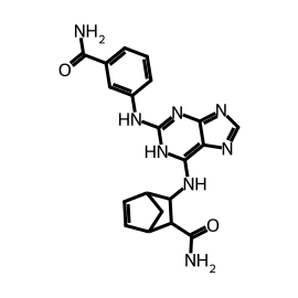 NC(=O)c1cccc(Nc2nc3ncnc-3c(NC3C4C=CC(C4)C3C(N)=O)[nH]2)c1